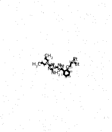 C=CCN(CC=C)c1nc(N)n(-c2nnc(-c3ccccc3OCCN(CC)CC)s2)n1